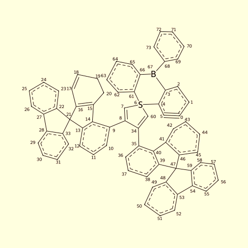 c1ccc2c(c#1)S1(C=C(c3cccc4c3C3=C(C=CCC3)C43c4ccccc4-c4ccccc43)C(c3cccc4c3-c3ccccc3C43c4ccccc4-c4ccccc43)=C1)c1ccccc1B2c1ccccc1